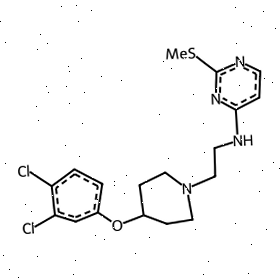 CSc1nccc(NCCN2CCC(Oc3ccc(Cl)c(Cl)c3)CC2)n1